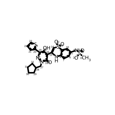 CS(=O)(=O)Nc1ccc2c(c1)S(=O)(=O)C=C(c1c(O)c(-c3cccs3)nn(CC3CCCC3)c1=O)N2